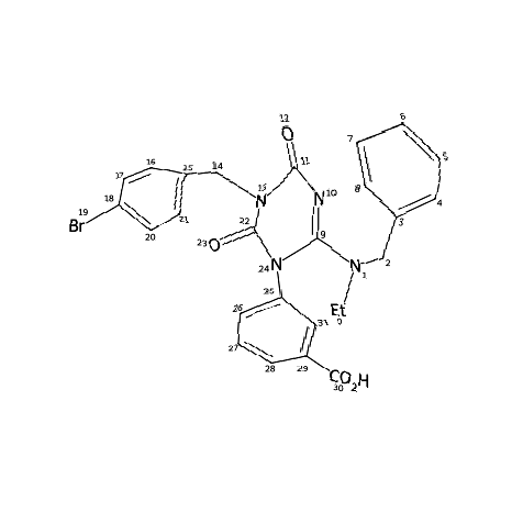 CCN(Cc1ccccc1)c1nc(=O)n(Cc2ccc(Br)cc2)c(=O)n1-c1cccc(C(=O)O)c1